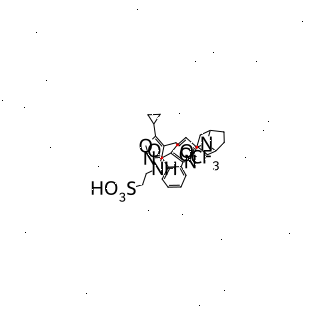 O=C(NCCS(=O)(=O)O)c1ccc(N2C3CCC2CC(OCc2c(-c4ccccc4OC(F)(F)F)noc2C2CC2)C3)nc1